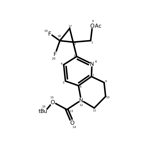 CC(=O)OCC1(c2ccc3c(n2)CCCN3C(=O)OC(C)(C)C)CC1(F)F